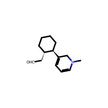 CN1C=CC=C([C@@H]2CCCC[C@H]2CC=O)C1